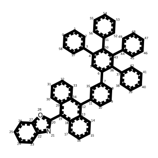 c1ccc(-c2cc(-c3cccc(-c4c5ccccc5c(-c5nc6ccccc6o5)c5ccccc45)c3)c(-c3ccccc3)c(-c3ccccc3)c2-c2ccccc2)cc1